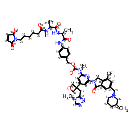 CCN(C(=O)OCc1ccc(NC(=O)C(C)NC(=O)C(NC(=O)CCCCCN2C(=O)C=CC2=O)C(C)C)cc1)c1cc(C2(Cc3nncn3C)COC2)cc(N2Cc3c(cc(CN4CCC[C@H](C)C4)cc3C(F)(F)F)C2=O)n1